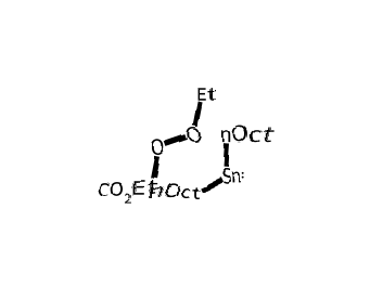 CCCCCCC[CH2][Sn][CH2]CCCCCCC.CCOOC(=O)OCC